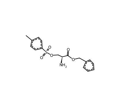 Cc1ccc(S(=O)(=O)OC[C@H](N)C(=O)OCc2ccccc2)cc1